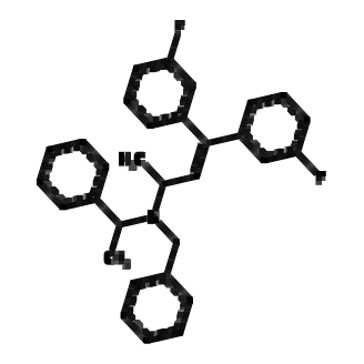 CC(C=C(c1cccc(F)c1)c1cccc(F)c1)N(Cc1ccccc1)C(C)c1ccccc1